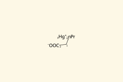 CCCCC(=O)[O-].[Hg+]